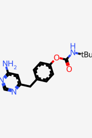 CC(C)(C)NC(=O)Oc1ccc(Cc2cc(N)ncn2)cc1